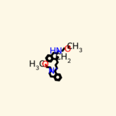 C=C(CCCC1=[N+](CCOC)CCc2ccccc21)c1ccccc1CCNCCOC